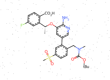 C[C@@H](Oc1cc(-c2cc(S(C)(=O)=O)ccc2CN(C)C(=O)OC(C)(C)C)cnc1N)c1cc(F)ccc1C(=O)O